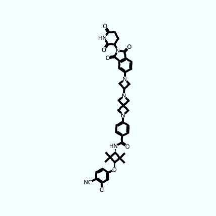 CC1(C)[C@H](NC(=O)c2ccc(N3CC4(C3)CN(C3CN(c5ccc6c(c5)C(=O)N(C5CCC(=O)NC5=O)C6=O)C3)C4)cc2)C(C)(C)[C@H]1Oc1ccc(C#N)c(Cl)c1